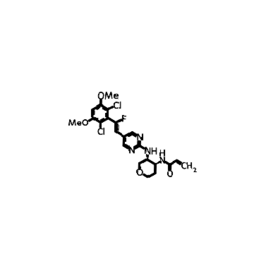 C=CC(=O)N[C@H]1CCOC[C@H]1Nc1ncc(/C=C(\F)c2c(Cl)c(OC)cc(OC)c2Cl)cn1